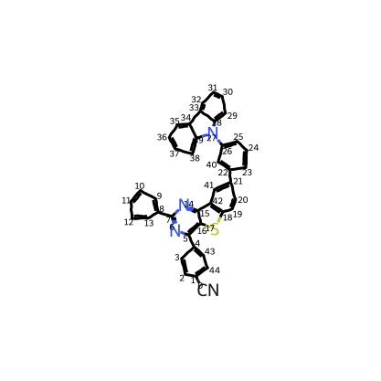 N#Cc1ccc(-c2nc(-c3ccccc3)nc3c2sc2ccc(-c4cccc(-n5c6ccccc6c6ccccc65)c4)cc23)cc1